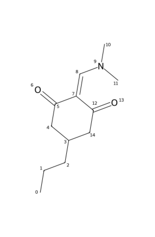 CCCC1CC(=O)C(=CN(C)C)C(=O)C1